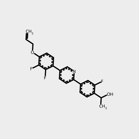 C=CCOc1ccc(-c2ccc(-c3ccc(C(C)O)c(F)c3)nc2)c(F)c1F